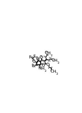 C=CCOC(=O)C(C(=O)c1cc(N)c(Br)c(OC(F)F)c1Br)=C(CC=C)CC=C